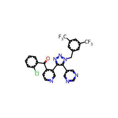 O=C(c1ccccc1Cl)c1ccncc1-c1nnn(Cc2cc(C(F)(F)F)cc(C(F)(F)F)c2)c1-c1cncnc1